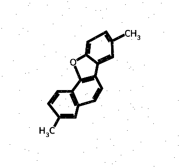 Cc1ccc2c(ccc3c4cc(C)ccc4oc23)c1